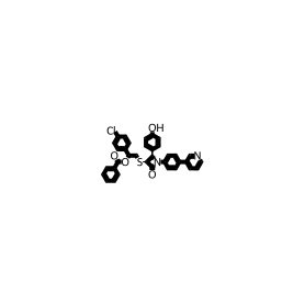 O=C(OC(CS[C@H]1C(=O)N(c2ccc(-c3cccnc3)cc2)[C@@H]1c1ccc(O)cc1)c1ccc(Cl)cc1)c1ccccc1